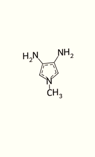 Cn1cc(N)c(N)c1